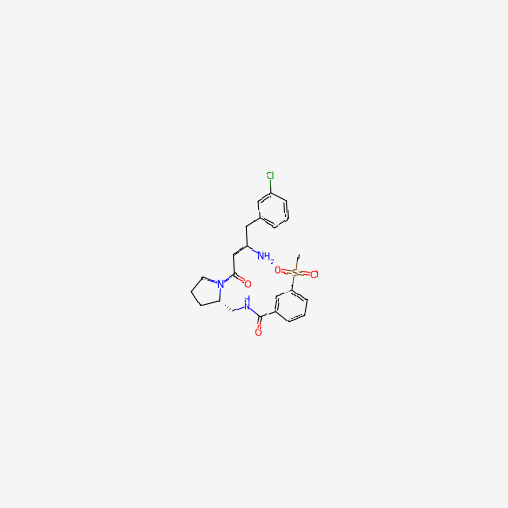 CS(=O)(=O)c1cccc(C(=O)NC[C@@H]2CCCN2C(=O)CC(N)Cc2cccc(Cl)c2)c1